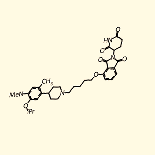 CNc1cc(C)c(C2CCN(CCCCCOc3cccc4c3C(=O)N(C3CCC(=O)NC3=O)C4=O)CC2)cc1OC(C)C